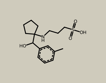 Cc1cccc(C(O)C2(NCCCS(=O)(=O)O)CCCC2)c1